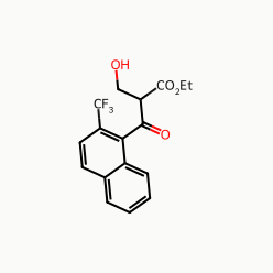 CCOC(=O)C(CO)C(=O)c1c(C(F)(F)F)ccc2ccccc12